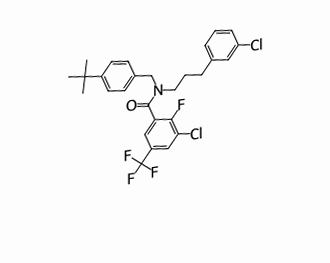 CC(C)(C)c1ccc(CN(CCCc2cccc(Cl)c2)C(=O)c2cc(C(F)(F)F)cc(Cl)c2F)cc1